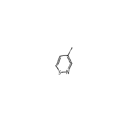 CC1=C=NSC=C1